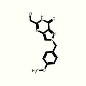 COc1ccc(Cn2cc3nc(CCl)[nH]c(=O)c3n2)cc1